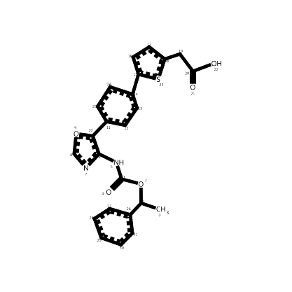 CC(OC(=O)Nc1ncoc1-c1ccc(-c2ccc(CC(=O)O)s2)cc1)c1ccccc1